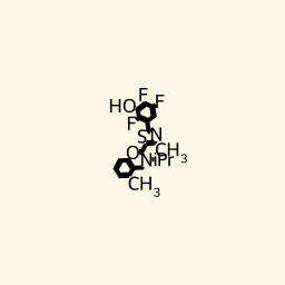 Cc1ccccc1CN(C(=O)c1sc(-c2cc(F)c(F)c(O)c2F)nc1C)C(C)C